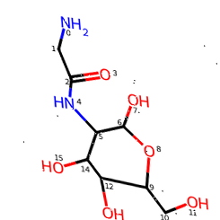 NCC(=O)NC1C(O)OC(CO)C(O)C1O